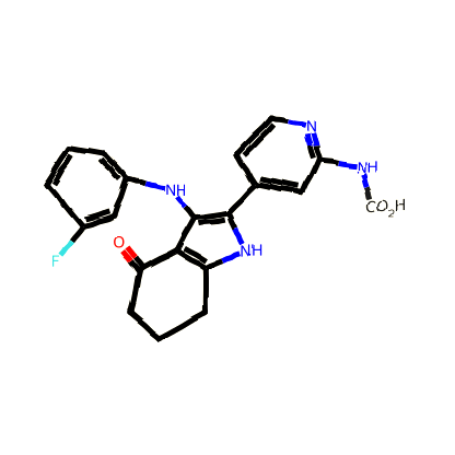 O=C(O)Nc1cc(-c2[nH]c3c(c2Nc2cccc(F)c2)C(=O)CCC3)ccn1